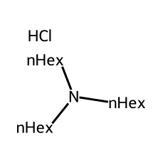 CCCCCCN(CCCCCC)CCCCCC.Cl